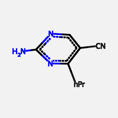 CCCc1nc(N)ncc1C#N